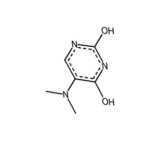 CN(C)c1cnc(O)nc1O